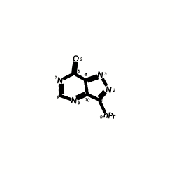 CCCC1=NN=C2C(=O)N=CN=C12